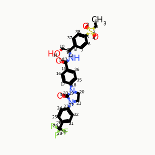 CCS(=O)(=O)c1ccc([C@H](CO)NC(=O)c2ccc(N3CCN(c4ccc(C(F)(F)F)cc4)C3=O)cc2)cc1